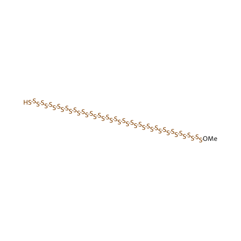 COSSSSSSSSSSSSSSSSSSSSSSSSSSSSSSSSSSSSSSSSSSS